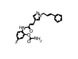 NC(=O)Oc1cc(F)ccc1NC(=O)C=Cc1cnn(CC=Cc2ccccc2)c1